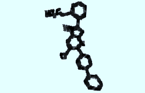 O=C(O)Cc1ccccc1-c1cc2nc(-c3ccc(-c4ccccc4)cc3)c(Cl)cc2[nH]1